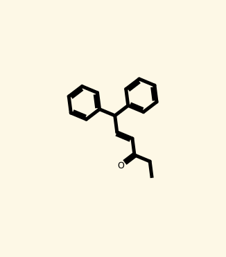 CCC(=O)C=CC(c1ccccc1)c1ccccc1